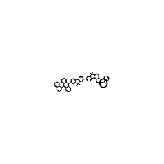 CC1(C)c2cc(-c3ccc4c(c3)C(C)(C)c3ccc5c(ccc6oc7ccccc7c65)c3-4)ccc2-c2ccc(-c3c4ccccc4c(-c4cccc5ccccc45)c4ccccc34)cc21